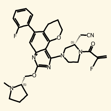 C=C(F)C(=O)N1CCN(c2nc(OC[C@@H]3CCCN3C)nc3cc(-c4ccccc4F)c4c(c23)OCCC4)C[C@@H]1CC#N